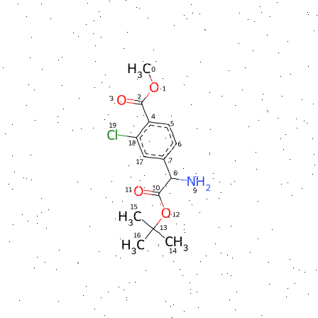 COC(=O)c1ccc(C(N)C(=O)OC(C)(C)C)cc1Cl